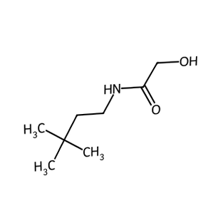 CC(C)(C)CCNC(=O)CO